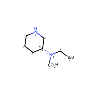 CC(C)(C)CN(C(=O)O)[C@@H]1CCCNC1